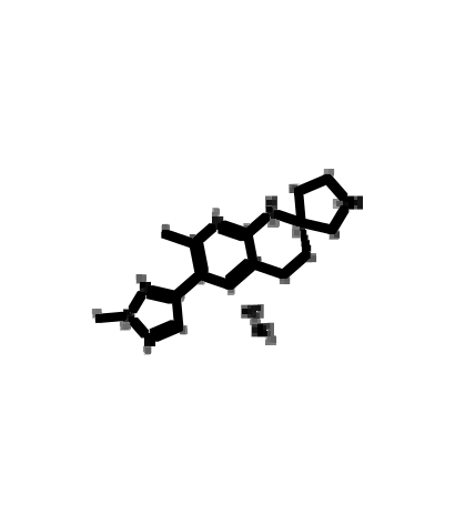 Cc1nc2c(cc1-c1cnn(C)n1)CC[C@@]1(CCNC1)N2.Cl.Cl